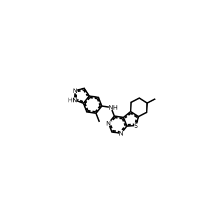 Cc1cc2[nH]ncc2cc1Nc1ncnc2sc3c(c12)CCC(C)C3